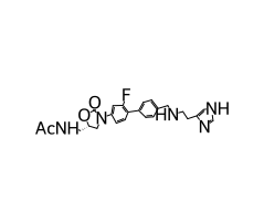 CC(=O)NC[C@H]1CN(c2ccc(-c3ccc(CNCCc4c[nH]cn4)cc3)c(F)c2)C(=O)O1